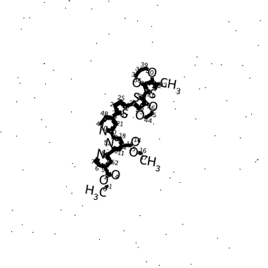 CCOC(=O)c1ccnc(-c2cc(C(=O)OCC)cc(-c3cc(-c4ccc(-c5sc(-c6sc(C)c7c6OCCCO7)c6c5OCCO6)s4)ccn3)n2)c1